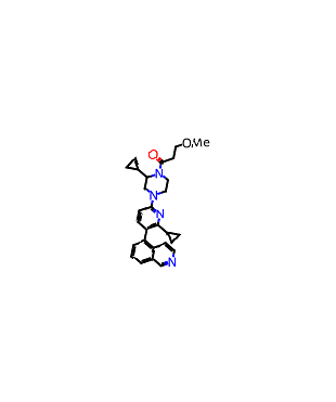 COCCC(=O)N1CCN(c2ccc(-c3cccc4cnccc34)c(C3CC3)n2)CC1C1CC1